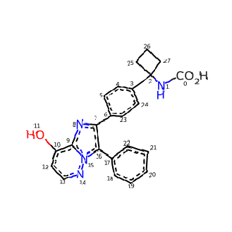 O=C(O)NC1(c2ccc(-c3nc4c(O)ccnn4c3-c3ccccc3)cc2)CCC1